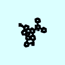 N#Cc1ccc(-c2cc(-c3nc(-c4ccccc4)cc(-c4ccccc4)n3)cc(-c3ccc(C#N)cc3)c2-n2c3ccccc3c3cc(-c4ccccc4C#N)ccc32)cc1